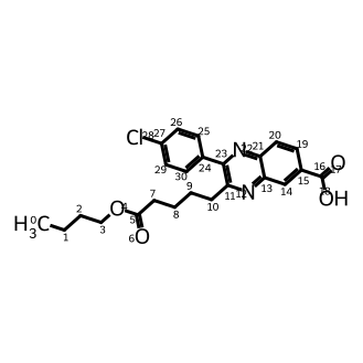 CCCCOC(=O)CCCCc1nc2cc(C(=O)O)ccc2nc1-c1ccc(Cl)cc1